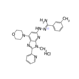 Cc1cccc(/C(N)=N/Nc2cc(N3CCOCC3)c3nc(-c4ccccn4)n(C)c3n2)c1.Cl